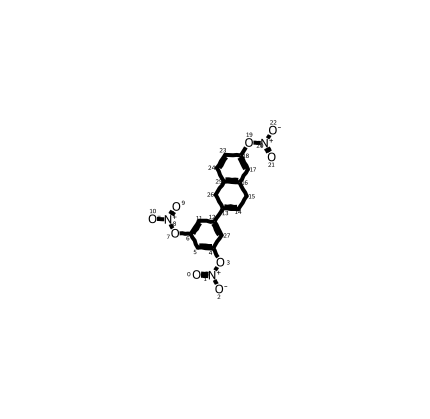 O=[N+]([O-])Oc1cc(O[N+](=O)[O-])cc(C2=CCc3cc(O[N+](=O)[O-])ccc3C2)c1